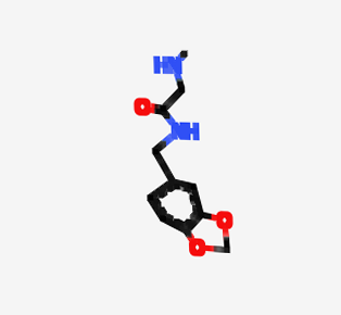 CNCC(=O)NCc1ccc2c(c1)OCO2